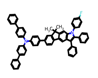 CC1(C)c2cc(-c3ccc(N(c4ccc(-c5ccccc5)cc4)c4ccc(-c5ccccc5)cc4)cc3)ccc2-c2cc3c(-c4ccccc4)c(-c4ccccc4)n(-c4ccc(F)cc4)c3cc21